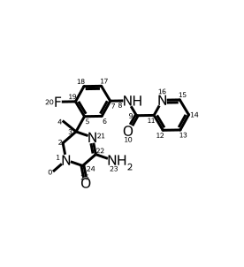 CN1CC(C)(c2cc(NC(=O)c3ccccn3)ccc2F)N=C(N)C1=O